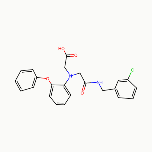 O=C(O)CN(CC(=O)NCc1cccc(Cl)c1)c1ccccc1Oc1ccccc1